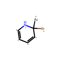 CC(=O)C1(Br)C=CC=CN1